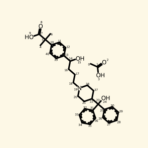 CC(=O)O.CC(C)(C(=O)O)c1ccc(C(O)CCCN2CCC(C(O)(c3ccccc3)c3ccccc3)CC2)cc1